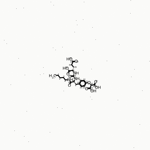 CCCCCNC(=O)[C@H](Cc1ccc(OC(C(=O)O)C(=O)O)cc1)NC(=O)N[C@@H](CCC(=O)O)C(=O)O